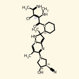 CN/C(C(=O)N1CCCC[C@H]1C1(C)C=C2N=C(N3C[C@@H](C#N)[C@@H](O)C3)C(C)=CN2N1)=C(/Cl)C(C)=N